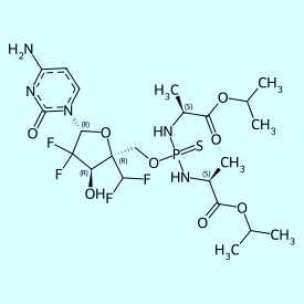 CC(C)OC(=O)[C@H](C)NP(=S)(N[C@@H](C)C(=O)OC(C)C)OC[C@@]1(C(F)F)O[C@@H](n2ccc(N)nc2=O)C(F)(F)[C@@H]1O